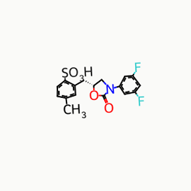 Cc1ccc(S(=O)(=O)O)c(C[C@@H]2CN(c3cc(F)cc(F)c3)C(=O)O2)c1